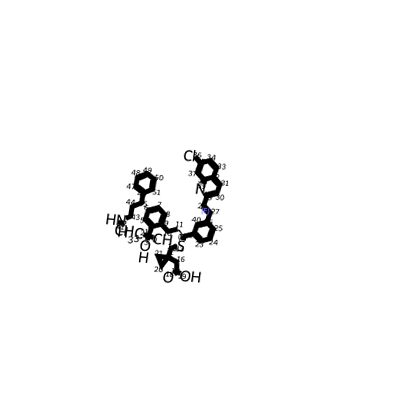 CC(C)(O)c1ccccc1CC[C@@H](SCC1(CC(=O)O)CC1)c1cccc(/C=C/c2ccc3ccc(Cl)cc3n2)c1.CNCCCc1ccccc1